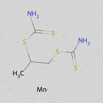 CC(CSC(N)=S)SC(N)=S.[Mn]